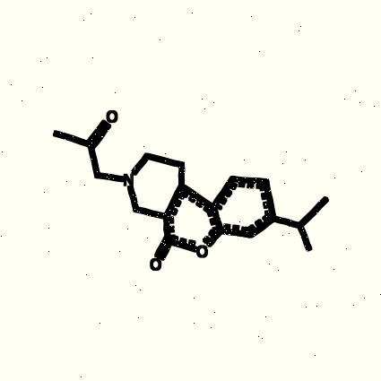 CC(=O)CN1CCc2c(c(=O)oc3cc(C(C)C)ccc23)C1